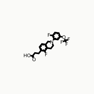 O=C(O)CCc1ccc2c(c1F)CCN(c1cc(OC(F)(F)F)ccc1F)C2